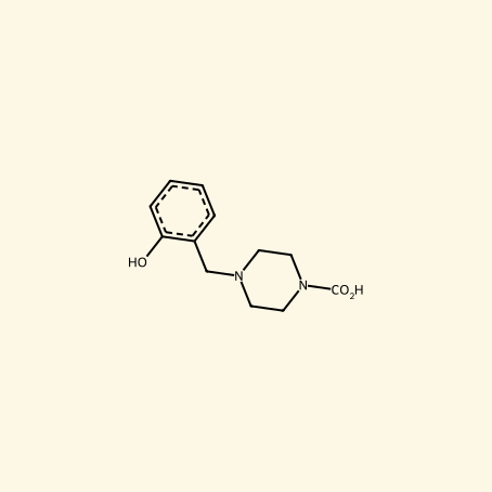 O=C(O)N1CCN(Cc2ccccc2O)CC1